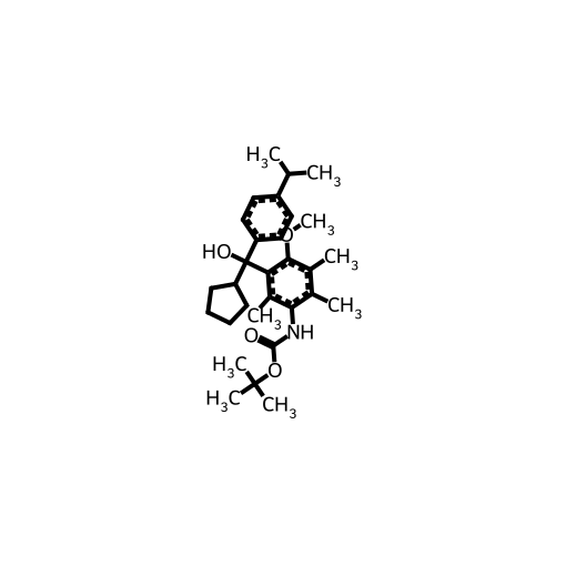 COc1c(C)c(C)c(NC(=O)OC(C)(C)C)c(C)c1C(O)(c1ccc(C(C)C)cc1)C1CCCC1